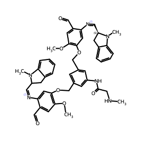 CNCC(=O)Nc1cc(COc2cc(/N=C\C3Cc4ccccc4N3C)c(C=O)cc2OC)cc(COc2cc(/N=C\[C@@H]3Cc4ccccc4N3C)c(C=O)cc2OC)c1